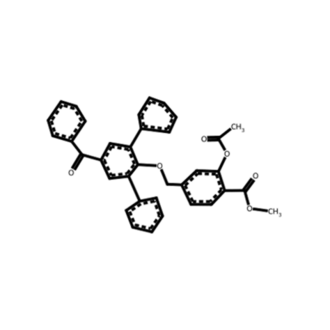 COC(=O)c1ccc(COc2c(-c3ccccc3)cc(C(=O)c3ccccc3)cc2-c2ccccc2)cc1OC(C)=O